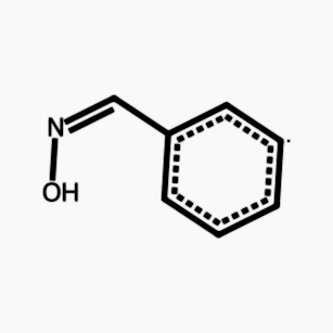 O/N=C\c1c[c]ccc1